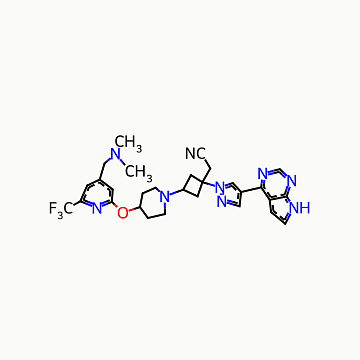 CN(C)Cc1cc(OC2CCN(C3CC(CC#N)(n4cc(-c5ncnc6[nH]ccc56)cn4)C3)CC2)nc(C(F)(F)F)c1